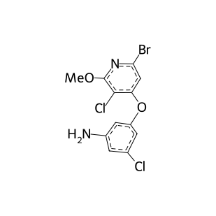 COc1nc(Br)cc(Oc2cc(N)cc(Cl)c2)c1Cl